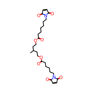 CC(CCOC(=O)CCCCCCN1C(=O)C=CC1=O)CCOC(=O)CCCCCN1C(=O)C=CC1=O